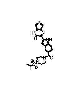 CC(C)S(=O)(=O)N1CCN(C(=O)c2ccc3[nH]c(-c4nc5cscc5[nH]c4=O)cc3c2)CC1